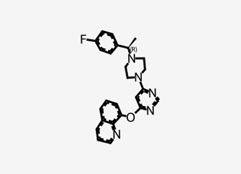 C[C@H](c1ccc(F)cc1)N1CCN(c2cc(Oc3cccc4cccnc34)ncn2)CC1